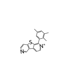 Cc1cc(C)c(C)c(-c2c3sc4ccncc4c3cc[n+]2C)c1